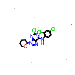 Clc1ccc(Nc2nc(Cl)nc3c2ncn3C2CCCCO2)c(Cl)c1